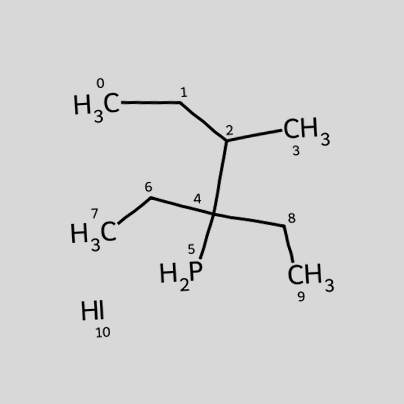 CCC(C)C(P)(CC)CC.I